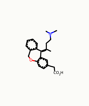 C/C(CCN(C)C)=C1/c2ccccc2COc2ccc(CC(=O)O)cc21